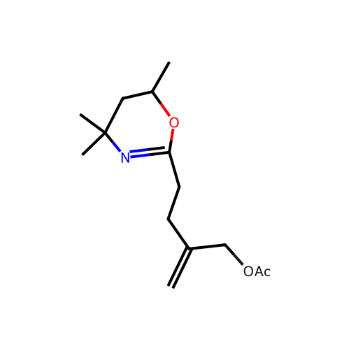 C=C(CCC1=NC(C)(C)CC(C)O1)COC(C)=O